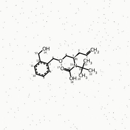 C=CC[C@H](COCc1ccccc1CO)N(C(=O)O)C(C)(C)C